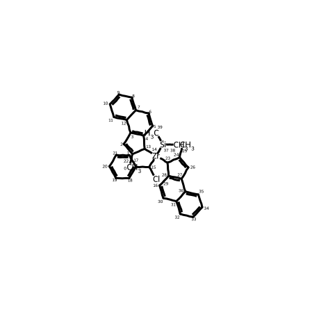 CC1=Cc2c(ccc3ccccc23)[CH]1[Zr]([CH](Cl)c1ccccc1)([CH]1C(C)=Cc2c1ccc1ccccc21)[Si](C)C